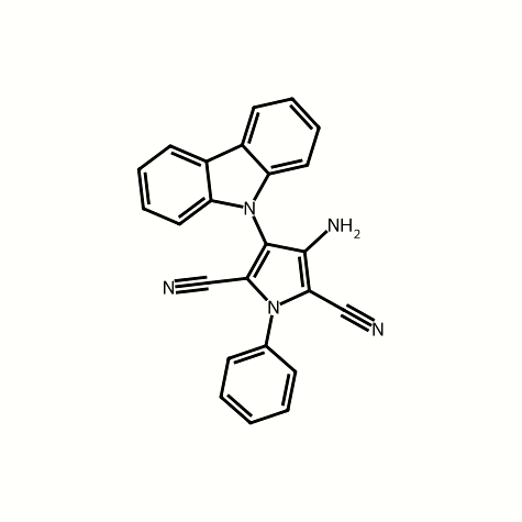 N#Cc1c(N)c(-n2c3ccccc3c3ccccc32)c(C#N)n1-c1ccccc1